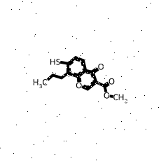 CCCc1c(S)ccc2c(=O)c(C(=O)OC)coc12